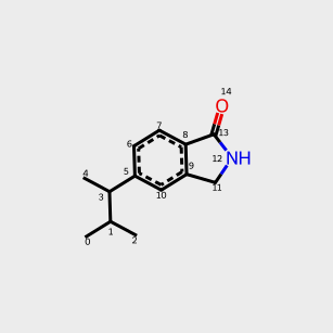 CC(C)C(C)c1ccc2c(c1)CNC2=O